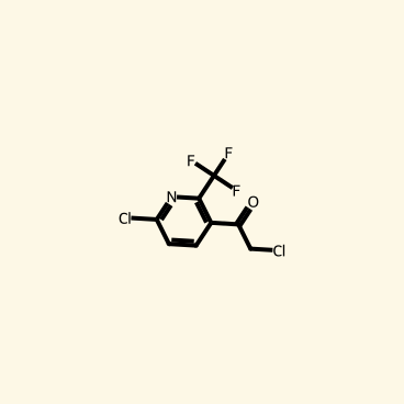 O=C(CCl)c1ccc(Cl)nc1C(F)(F)F